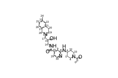 CC(=O)N1CCC(Nc2cc(C(=O)NC[C@H](O)/C=[N+]3\CCc4cc(C)ccc4C3)ccn2)CC1